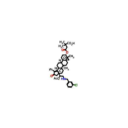 CC(=O)OC(CNCc1cccc(Cl)c1)C12CC[C@]3(C)[C@H](CC[C@@H]4[C@@]5(C)CC[C@H](OC(=O)CC(C)(C)C(=O)O)C6(C)C[C@]65CC[C@]43C)C1=C(C(C)C)C(=O)C2